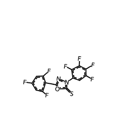 Fc1cc(F)c(-c2nn(-c3cc(F)c(F)c(F)c3F)c(=S)o2)c(F)c1